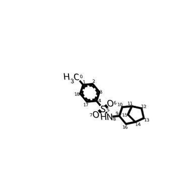 Cc1ccc(S(=O)(=O)NC2CC3CCC(C3)C2)cc1